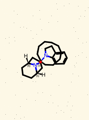 c1ccc2c(c1)CCN2[C@@H]1C[C@H]2CCC[C@@H](C1)N2C1CCCCCCCCC1